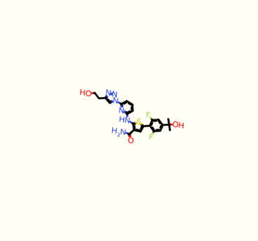 CC(C)(O)c1cc(F)c(-c2cc(C(N)=O)c(Nc3cccc(-n4cc(CCO)nn4)n3)s2)c(F)c1